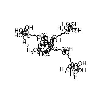 CC(=O)NC1[C@H](OCCCCCCOP(=O)(O)OCCCOCC(COCCCOP(=O)(O)OCCCCCCO[C@@H]2OC(CO)[C@H](O)[C@H](O)C2C)(COCOP(=O)(O)OCCCCCCO[C@@H]2OC(CO)[C@H](O)[C@H](O)C2C)COP(=O)(O)CC[C@H]2O[C@@H](C)C[C@@H]2OP(=O)(O)C(C)C)OC(CO)[C@H](O)[C@@H]1O